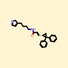 O=C(/C=C/[C@@H]1CC1(c1ccccc1)c1ccccc1)NCCCCC1=CC=NC1